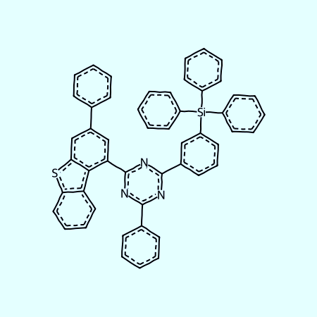 c1ccc(-c2cc(-c3nc(-c4ccccc4)nc(-c4cccc([Si](c5ccccc5)(c5ccccc5)c5ccccc5)c4)n3)c3c(c2)sc2ccccc23)cc1